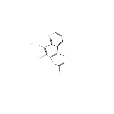 COc1c([N+](=O)[O-])c(OC(N)=O)c(Cl)c2cccnc12